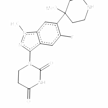 COC1(c2cc3c(cc2F)c(N2CCC(=O)NC2=O)nn3C)CCNCC1